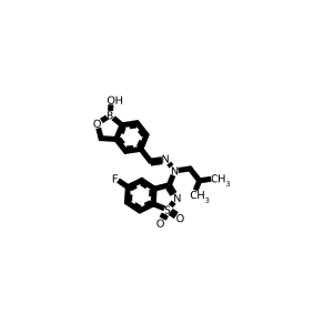 CC(C)CN(/N=C/c1ccc2c(c1)COB2O)C1=NS(=O)(=O)c2ccc(F)cc21